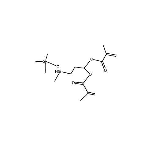 C=C(C)C(=O)OC(CC[SiH](C)O[Si](C)(C)C)OC(=O)C(=C)C